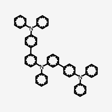 c1ccc(N(c2ccccc2)c2ccc(-c3cccc(N(c4ccccc4)c4cccc(-c5ccc(N(c6ccccc6)c6ccccc6)cc5)c4)c3)cc2)cc1